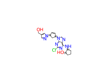 OCc1cnn([C@@H]2C=C[C@H](n3cnc4c(N[C@H]5CCC[C@@H]5O)nc(Cl)nc43)C2)c1